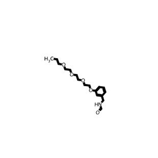 CCCOCCOCCOCCOc1cccc(CNC=O)c1